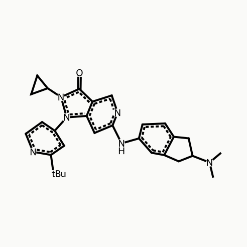 CN(C)C1Cc2ccc(Nc3cc4c(cn3)c(=O)n(C3CC3)n4-c3ccnc(C(C)(C)C)c3)cc2C1